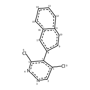 Clc1cnnc(Cl)c1-c1ccc2ccccc2c1